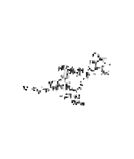 C=C(C(=O)OC)[C@H]1CCCC[C@H](NC(=O)/C=C/c2c(C(C)=O)ccc(Cl)c2F)c2nc(c(C#N)[nH]2)-c2ccc(NC(=O)OCCOC)cc2N1